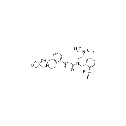 CN(C)CCN(Cc1ccccc1C(F)(F)F)C(=O)CNc1cccc2c1CCN(CC1(C)COC1)C2